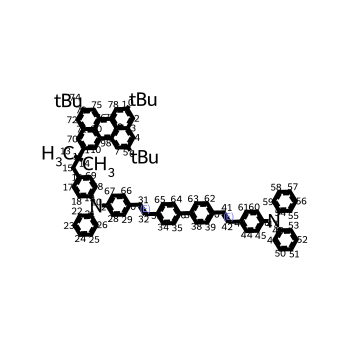 CC(C)(C)c1cc2cc(C(C)(C)C)cc3c4cc(C(C)(C)Cc5ccc(N(c6ccccc6)c6ccc(/C=C/c7ccc(-c8ccc(/C=C/c9ccc(N(c%10ccccc%10)c%10ccccc%10)cc9)cc8)cc7)cc6)cc5)cc5cc(C(C)(C)C)cc(c(c1)c23)c54